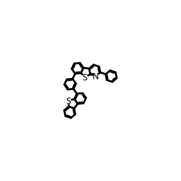 c1ccc(-c2ccc3c(n2)sc2c(-c4cccc(-c5cccc6c5sc5ccccc56)c4)cccc23)cc1